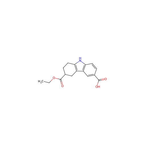 CCOC(=O)C1CCc2[nH]c3ccc(C(=O)O)cc3c2C1